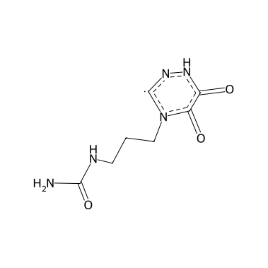 NC(=O)NCCCn1[c]n[nH]c(=O)c1=O